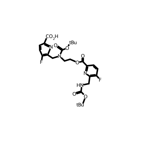 CC(C)(C)OC(=O)NCc1nc(C(=O)OCCN(Cc2nc(C(=O)O)ccc2F)C(=O)OC(C)(C)C)ccc1F